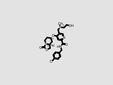 CN(CCO)Cc1cnc(C(=O)NCc2ccc(Cl)cc2)cc1O[C@H]1CCN2C(=O)OC[C@@H]2C1